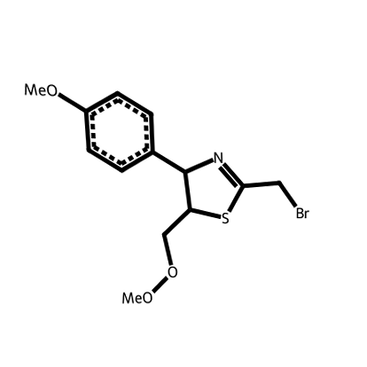 COOCC1SC(CBr)=NC1c1ccc(OC)cc1